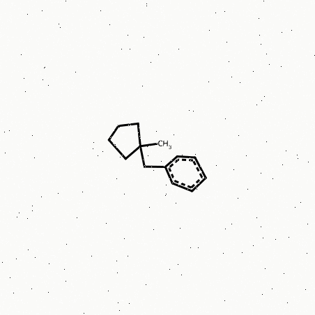 CC1(Cc2ccccc2)CCCC1